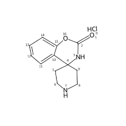 Cl.O=C1NC2(CCNCC2)c2ccccc2O1